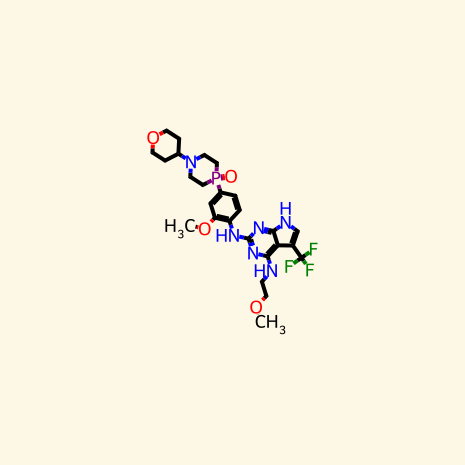 COCCNc1nc(Nc2ccc(P3(=O)CCN(C4CCOCC4)CC3)cc2OC)nc2[nH]cc(C(F)(F)F)c12